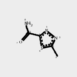 Cc1nnc(C(N)=O)s1